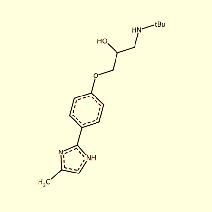 Cc1c[nH]c(-c2ccc(OCC(O)CNC(C)(C)C)cc2)n1